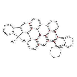 CC1(C)c2ccccc2-c2cccc(-c3ccccc3N(c3ccc4c(c3)C3(CCCCC3)c3ccccc3-4)c3ccccc3-c3cccc(-c4ccccc4-c4ccccc4)c3)c21